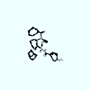 C#CN(C(=O)c1ccccc1)c1ccccc1S(=O)(=O)NC(=O)c1ccc(C(F)(F)F)cc1.c1cc2ccc1-2